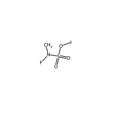 CN(F)S(=O)(=O)OI